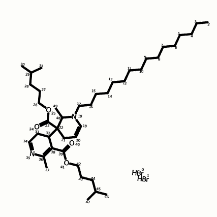 Br.Br.CCCCCCCCCCCCCCCCN1C=CCC(C(=O)OCCCC(C)C)(C2CC=NC(C)=C2C(=O)OCCCC(C)C)C1C